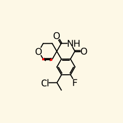 CC(Cl)c1cc2c(cc1F)C(=O)NC(=O)C21CCOc2ccccc21